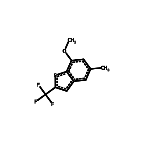 COc1cc(C)cc2cc(C(F)(F)F)sc12